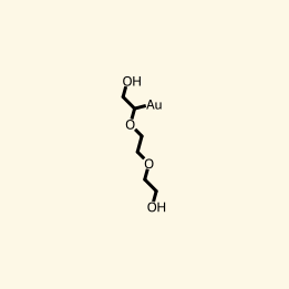 OCCOCCO[CH]([Au])CO